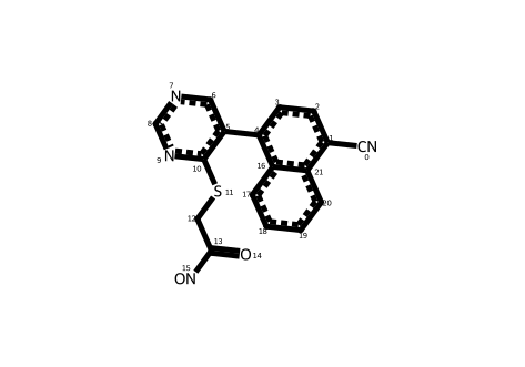 N#Cc1ccc(-c2cncnc2SCC(=O)N=O)c2ccccc12